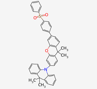 CC1(C)c2ccc(-c3ccc(S(=O)(=O)c4ccccc4)cc3)cc2Oc2cc(N3c4ccccc4C(C)(C)c4ccccc43)ccc21